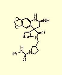 CC(C)NC(=O)N1CCC(CN2C(=O)C3(CC(=N)Nc4cc5c(cc43)OCO5)c3ccccc32)C1